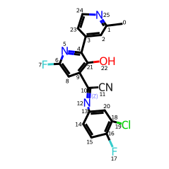 Cc1cc(-c2nc(F)cc(/C(C#N)=N/c3ccc(F)c(Cl)c3)c2O)ccn1